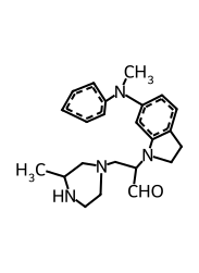 CC1CN(CC(C=O)N2CCc3ccc(N(C)c4ccccc4)cc32)CCN1